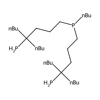 CCCCP(CCCC(P)(CCCC)CCCC)CCCC(P)(CCCC)CCCC